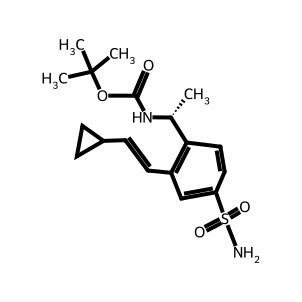 C[C@@H](NC(=O)OC(C)(C)C)c1ccc(S(N)(=O)=O)cc1/C=C/C1CC1